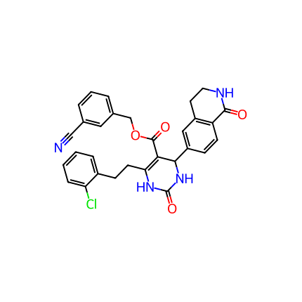 N#Cc1cccc(COC(=O)C2=C(CCc3ccccc3Cl)NC(=O)NC2c2ccc3c(c2)CCNC3=O)c1